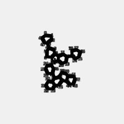 c1ccc(-c2ccc3c(c2)c2cc(-c4ccccc4)ccc2n3-c2cccc(-c3c4ccccc4cc4c3ccc3ccccc34)c2)cc1